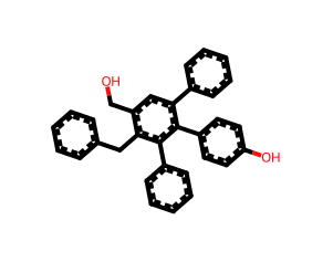 OCc1cc(-c2ccccc2)c(-c2ccc(O)cc2)c(-c2ccccc2)c1Cc1ccccc1